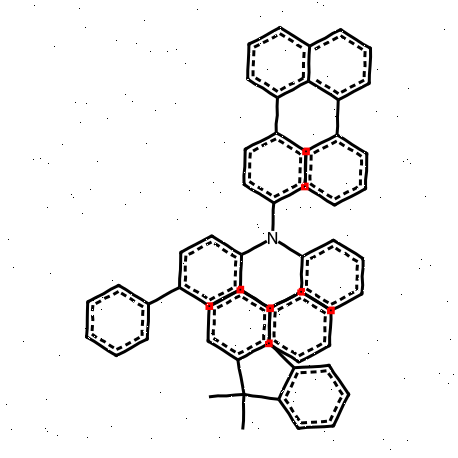 CC1(C)c2ccccc2-c2c(-c3ccccc3N(c3ccc(-c4cccc5cccc(-c6ccccc6)c45)cc3)c3ccc(-c4ccccc4)cc3-c3ccccc3)cccc21